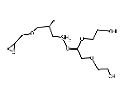 CC(COCC1CO1)C[SiH2]OC(COCCO)OCCO